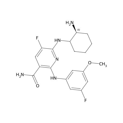 COc1cc(F)cc(Nc2nc(NC3CCCC[C@@H]3N)c(F)cc2C(N)=O)c1